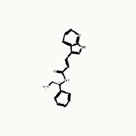 NC[C@@H](NC(=O)/C=C/c1c[nH]c2ncccc12)c1ccccc1